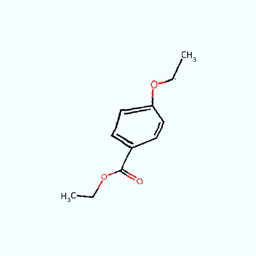 C[CH]Oc1ccc(C(=O)OCC)cc1